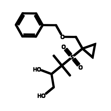 CC(C)(C(O)CO)S(=O)(=O)C1(COCc2ccccc2)CC1